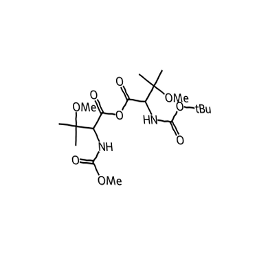 COC(=O)NC(C(=O)OC(=O)C(NC(=O)OC(C)(C)C)C(C)(C)OC)C(C)(C)OC